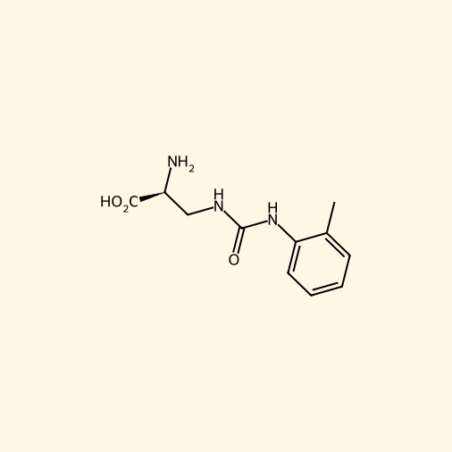 Cc1ccccc1NC(=O)NC[C@H](N)C(=O)O